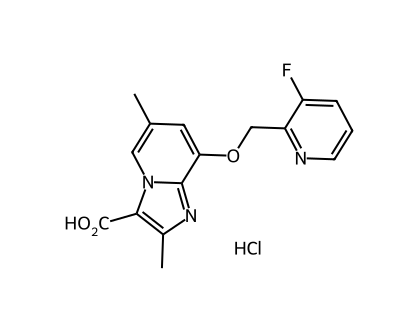 Cc1cc(OCc2ncccc2F)c2nc(C)c(C(=O)O)n2c1.Cl